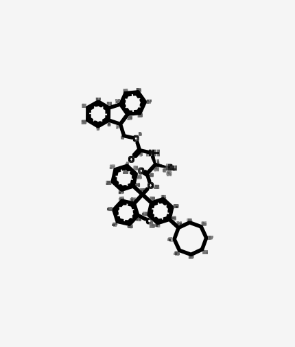 CC[C@H](C)[C@H](NC(=O)OCC1c2ccccc2-c2ccccc21)C(=O)OC(c1ccccc1)(c1ccc(C2CCCCCCC2)cc1)c1ccccc1Cl